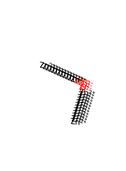 [O-2].[O-2].[O-2].[O-2].[O-2].[O-2].[Zn+2].[Zn+2].[Zn+2].[Zn+2].[Zn+2].[Zn+2].[Zn+2].[Zn+2].[Zn+2].[Zn+2].[Zn+2].[Zn+2].[Zn+2].[Zn+2].[Zn+2].[Zn+2].[Zn+2].[Zn+2].[Zn+2].[Zn+2].[Zn+2].[Zn+2].[Zn+2].[Zn+2]